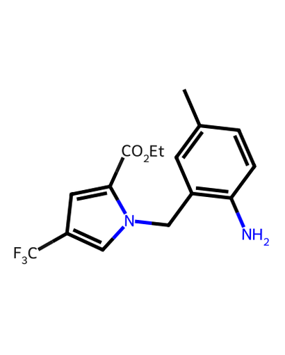 CCOC(=O)c1cc(C(F)(F)F)cn1Cc1cc(C)ccc1N